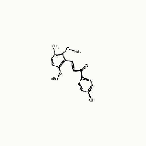 CCCCOc1ccc(C)c(OCCCC)c1C=CC(=O)c1ccc(O)cc1